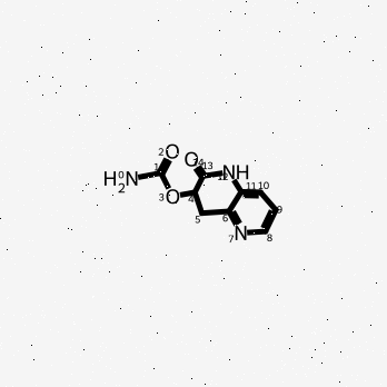 NC(=O)OC1Cc2ncccc2NC1=O